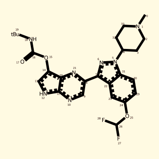 CN1CCC(n2nc(-c3cnc4[nH]cc(OC(=O)NC(C)(C)C)c4n3)c3cc(OC(F)F)ccc32)CC1